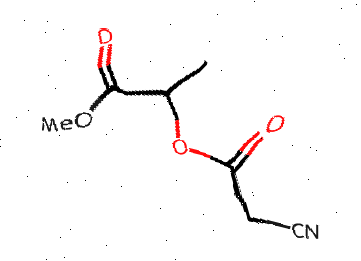 COC(=O)C(C)OC(=O)CC#N